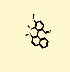 COc1ccc(C=O)c(-c2c(OC)ccc3ccccc23)c1OC